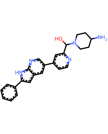 NC1CCN(C(O)c2cc(-c3cnc4[nH]c(-c5ccccc5)cc4c3)ccn2)CC1